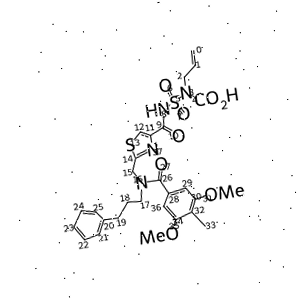 C=CCN(C(=O)O)S(=O)(=O)NC(=O)c1csc(CN(CCCc2ccccc2)C(=O)c2cc(OC)c(C)c(OC)c2)n1